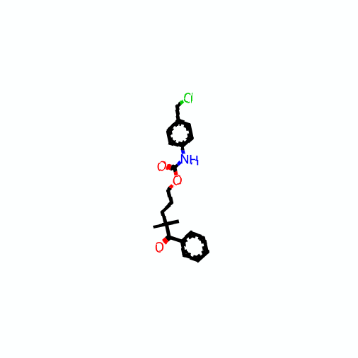 CC(C)(CCCOC(=O)Nc1ccc(CCl)cc1)C(=O)c1ccccc1